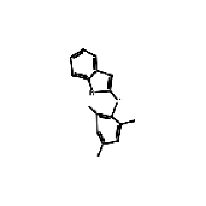 Cc1cc(C)c([I+]c2cc3ccccc3[nH]2)c(C)c1